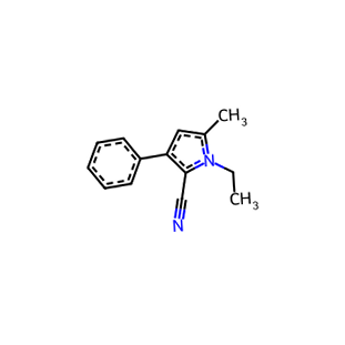 CCn1c(C)cc(-c2ccccc2)c1C#N